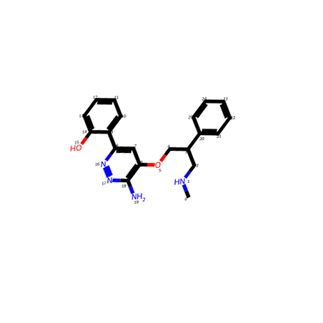 CNCC(COc1cc(-c2ccccc2O)nnc1N)c1ccccc1